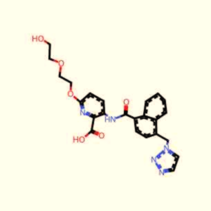 O=C(O)c1nc(OCCOCCO)ccc1NC(=O)c1ccc(Cn2ccnn2)c2ccccc12